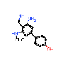 N=Cc1c(N)cc(-c2ccc(O)cc2)cc1NC=O